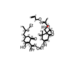 C=CCON=C(C)CCC1(C(=O)OC)C(=O)C=C(O)CC1(C)C.CCCC(=NOCC)C1=C(O)CC(CC(C)SCC)CC1=O